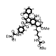 CCN(CC)C(=O)Nc1ccc(S(=O)(=O)N2C(=O)C(c3ccccc3Cl)c3c2cc([C@H](CCCCNC(=O)OC(C)(C)C)C(=O)OC)c(Cl)c3N)cc1